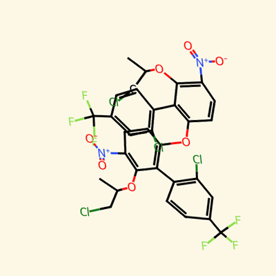 CC(CCl)Oc1c([N+](=O)[O-])ccc(Oc2ccc([N+](=O)[O-])c(OC(C)CCl)c2-c2ccc(C(F)(F)F)cc2Cl)c1-c1ccc(C(F)(F)F)cc1Cl